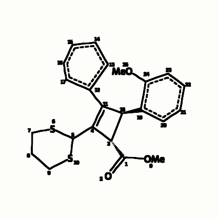 COC(=O)[C@@H]1C(C2SCCCS2)=C(c2ccccc2)[C@H]1c1ccccc1OC